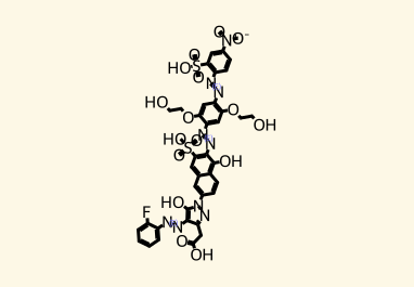 O=C(O)Cc1nn(-c2ccc3c(O)c(/N=N/c4cc(OCCO)c(/N=N/c5ccc([N+](=O)[O-])cc5S(=O)(=O)O)cc4OCCO)c(S(=O)(=O)O)cc3c2)c(O)c1/N=N/c1ccccc1F